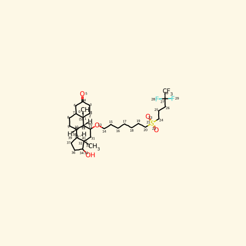 C[C@]12CCC(=O)CC1CC[C@@H]1[C@H]2C(OCCCCCCCS(=O)(=O)CCCC(F)(F)C(F)(F)F)C[C@]2(C)C(O)CC[C@@H]12